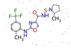 Cc1ccc(C(F)(F)F)cc1Nc1nc(C(=O)NSN2CCCC2C)co1